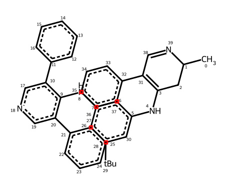 CC1CC(Nc2cc(Nc3c(-c4ccccc4)cncc3-c3ccccc3)cc(C(C)(C)C)c2)=C(c2ccccc2)C=N1